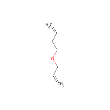 C=CCCOCC=C